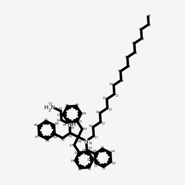 CCCCCCCCCCCCCCCCCCN(Cc1ccccc1)C(Cc1ccccc1)(Cc1ccccc1)C(Cc1ccccc1)NCCN